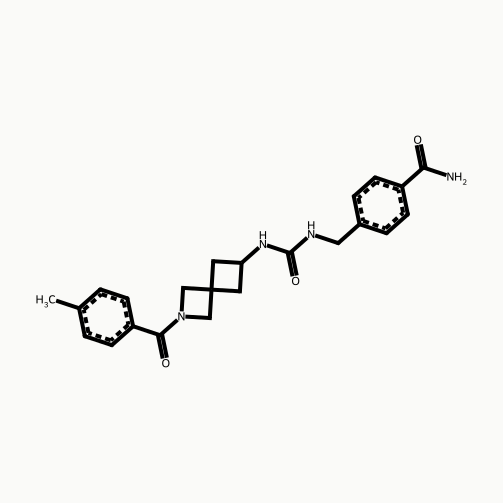 Cc1ccc(C(=O)N2CC3(CC(NC(=O)NCc4ccc(C(N)=O)cc4)C3)C2)cc1